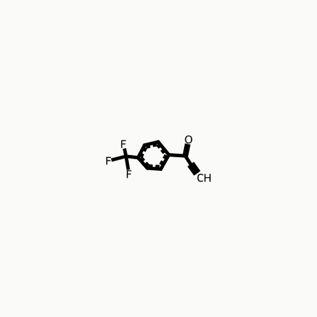 C#CC(=O)c1ccc(C(F)(F)F)cc1